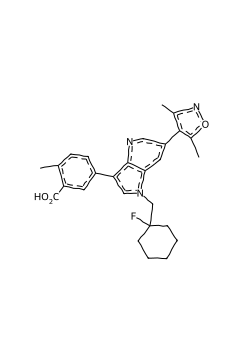 Cc1ccc(-c2cn(CC3(F)CCCCC3)c3cc(-c4c(C)noc4C)cnc23)cc1C(=O)O